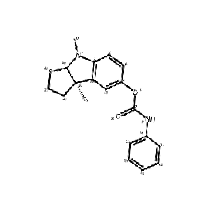 CN1c2ccc(OC(=O)Nc3ccccc3)cc2[C@@]2(C)CCSC12